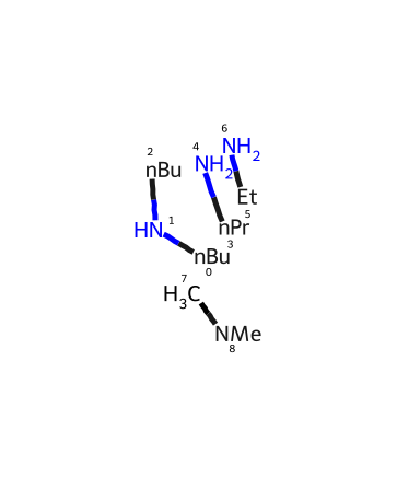 CCCCNCCCC.CCCN.CCN.CNC